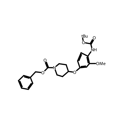 COc1cc(OC2CCN(C(=O)OCc3ccccc3)CC2)ccc1NC(=O)OC(C)(C)C